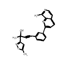 Cc1cc(C(C)(O)C#Cc2cccc(-c3ccc4ccnc(N)c4n3)c2)no1